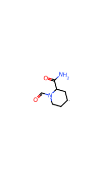 NC(=O)C1C[CH]CCN1C=O